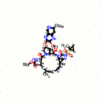 CCOc1nc2cc(OC)ncc2nc1O[C@@H]1C[C@H]2C(=O)N[C@]3(C(=O)NS(=O)(=O)C4(C)CC4)C[C@H]3/C=C\CC[C@@H](C)C[C@@H](CC)[C@H](NC(=O)OC(C)(C)C)C(=O)N2C1